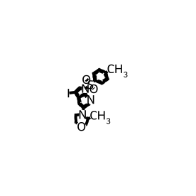 Cc1ccc(S(=O)(=O)n2cc(I)c3cc(N4CCOCC4C)cnc32)cc1